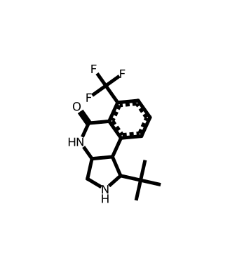 CC(C)(C)C1NCC2NC(=O)c3c(cccc3C(F)(F)F)C21